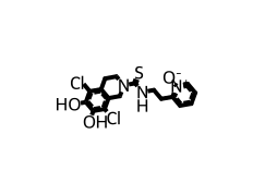 [O-][n+]1ccccc1CCNC(=S)N1CCc2c(Cl)c(O)c(O)c(Cl)c2C1